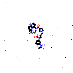 COc1ccc2nccc(NC(=O)[C@H]3CCN(C[C@@H]4CN(c5ccc6c(c5)NC(=O)CS6)C(=O)O4)C3)c2n1